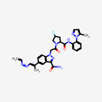 C=C/N=N\C=C(/C)c1ccc2c(c1)c(C(N)=O)nn2CC(=O)N1CC(F)CC1C(=O)Nc1ccccc1-n1nccc1C